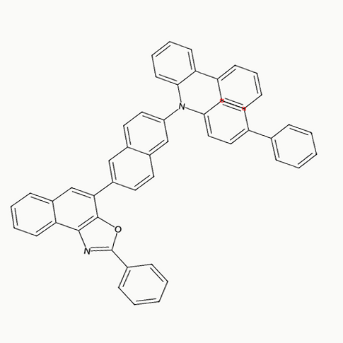 c1ccc(-c2ccc(N(c3ccc4cc(-c5cc6ccccc6c6nc(-c7ccccc7)oc56)ccc4c3)c3ccccc3-c3ccccc3)cc2)cc1